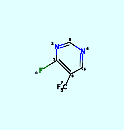 Fc1ncn[c]c1C(F)(F)F